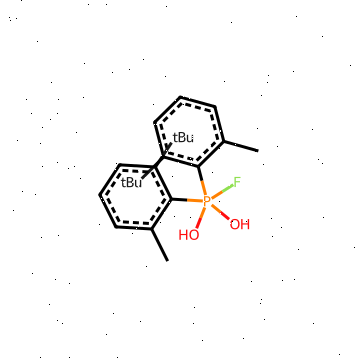 Cc1cccc(C(C)(C)C)c1P(O)(O)(F)c1c(C)cccc1C(C)(C)C